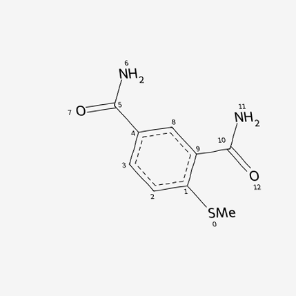 CSc1ccc(C(N)=O)cc1C(N)=O